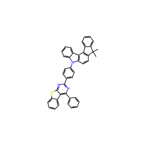 CC1(C)c2ccccc2-c2c1ccc1c2c2ccccc2n1-c1ccc(-c2nc(-c3ccccc3)c3c(n2)sc2ccccc23)cc1